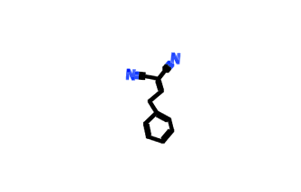 N#CC(C#N)=CCc1ccccc1